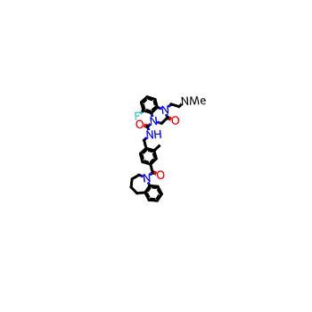 CNCCN1C(=O)CN(C(=O)NCc2ccc(C(=O)N3CCCCc4ccccc43)cc2C)c2c(F)cccc21